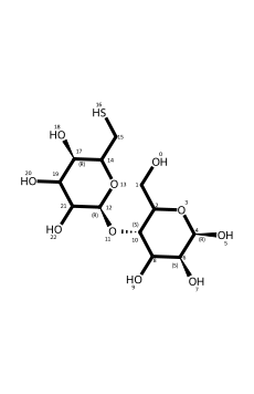 OCC1O[C@@H](O)[C@@H](O)C(O)[C@@H]1O[C@@H]1OC(CS)[C@H](O)C(O)C1O